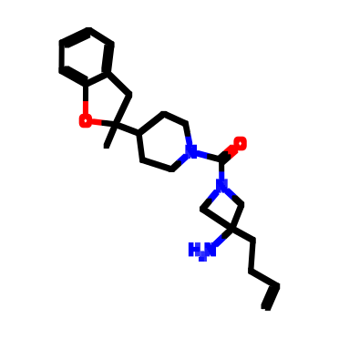 C=CCCC1(N)CN(C(=O)N2CCC(C3(C)Cc4ccccc4O3)CC2)C1